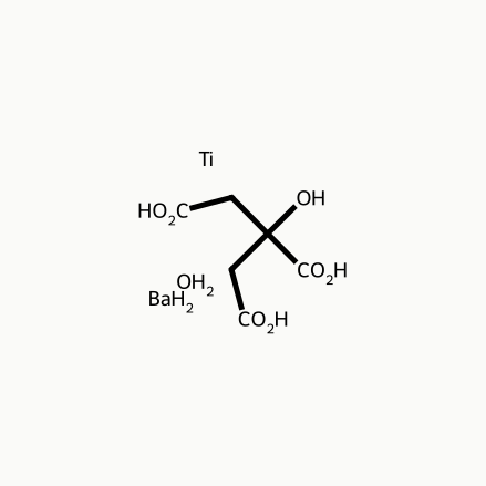 O.O=C(O)CC(O)(CC(=O)O)C(=O)O.[BaH2].[Ti]